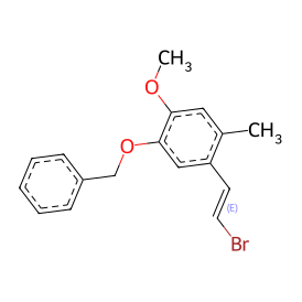 COc1cc(C)c(/C=C/Br)cc1OCc1ccccc1